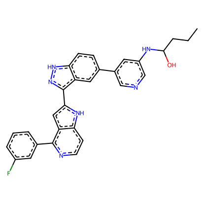 CCCC(O)Nc1cncc(-c2ccc3[nH]nc(-c4cc5c(-c6cccc(F)c6)nccc5[nH]4)c3c2)c1